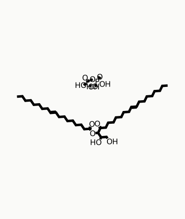 CCCCCCCCC=CCCCCCCCC(=O)OC(C(=O)CCCCCCCC=CCCCCCCCC)C(O)CO.O=P(O)(O)OP(=O)(O)O